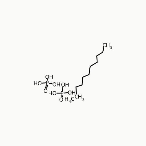 C.CCCCCCCCCC.O=P(O)(O)O.O=P(O)(O)O